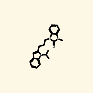 CC(C)n1c(CCCn2c(=O)n(C)c3ccccc32)cc2ccccc21